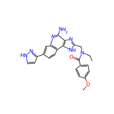 CCN(Cc1nc2c(N)nc3cc(-c4cc[nH]n4)ccc3c2[nH]1)C(=O)c1ccc(OC)cc1